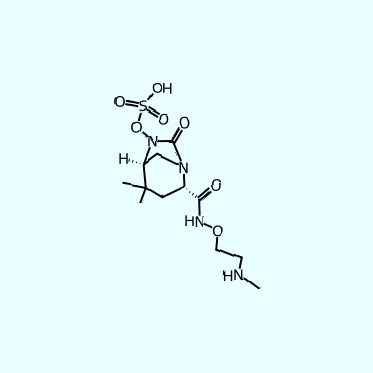 CNCCONC(=O)[C@@H]1CC(C)(C)[C@@H]2CN1C(=O)N2OS(=O)(=O)O